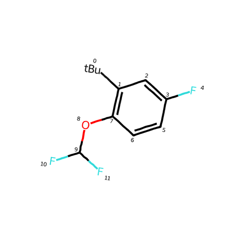 CC(C)(C)c1cc(F)ccc1OC(F)F